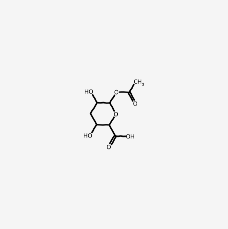 CC(=O)OC1OC(C(=O)O)C(O)CC1O